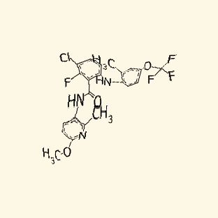 COc1ccc(NC(=O)c2c(Nc3ccc(OC(F)(F)F)cc3C)ccc(Cl)c2F)c(C)n1